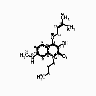 CCCCn1c(=O)c(O)c(OCC=C(C)C)c2ccc(NC)cc21